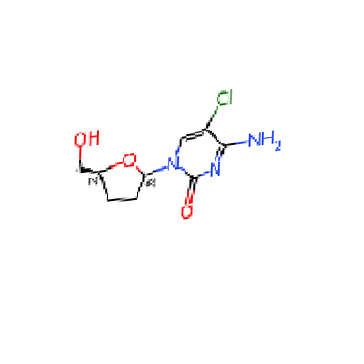 Nc1nc(=O)n([C@H]2CC[C@@H]([CH]O)O2)cc1Cl